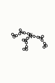 c1ccc2c(c1)oc1ccc(-c3ccc4c(c3)c3ccccc3n4-c3ccc(-c4ccc(-c5nc(-c6ccc(-n7c8ccccc8c8cc(-c9ccc%10oc%11ccccc%11c%10c9)ccc87)cc6)c6cc(-c7ccc(-n8c9ccccc9c9cc(-c%10ccc%11oc%12ccccc%12c%11c%10)ccc98)cc7)ccc6n5)cc4)cc3)cc12